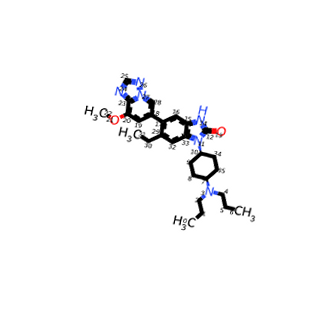 CCCN(CCC)[C@H]1CC[C@@H](n2c(=O)[nH]c3cc(-c4cc(OC)c5ncnn5c4)c(CC)cc32)CC1